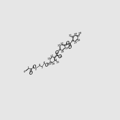 C=CC(=O)OCCCCOc1ccc(C(=O)Oc2ccc(OC(=O)c3ccc(C)cc3C)cc2)c(C)c1